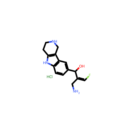 Cl.NC/C(=C/F)C(O)c1ccc2[nH]c3c(c2c1)CNCC3